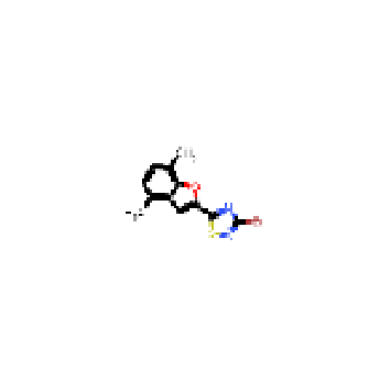 Cc1ccc(C)c2oc(-c3nc(Br)ns3)cc12